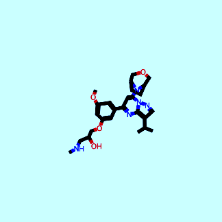 CNCC(O)COc1cc(OC)cc(-c2cc(N3C4CCC3COC4)n3ncc(C(C)C)c3n2)c1